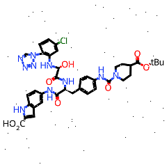 CC(C)(C)OC(=O)C1CCN(C(=O)Nc2ccc(C[C@H](NC(=O)[C@H](O)Nc3cc(Cl)ccc3-n3cnnn3)C(=O)Nc3ccc4[nH]c(C(=O)O)cc4c3)cc2)CC1